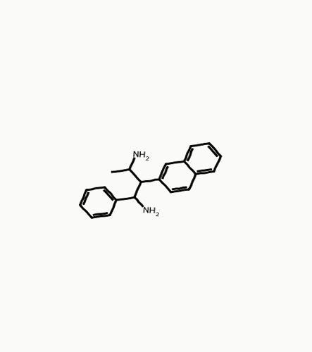 CC(N)C(c1ccc2ccccc2c1)C(N)c1ccccc1